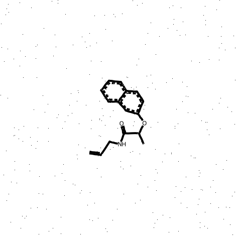 C=CCNC(=O)C(C)Oc1ccc2ccccc2c1